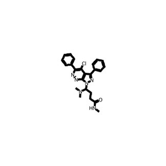 CNC(=O)CCC(N(C)C)n1nc(-c2ccccc2)c2c(Cl)c(-c3ccccc3)nnc21